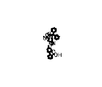 CN(C)C(=O)C1Cc2c(ncn2Cc2ccc(-c3ccccc3C(=O)O)cc2)CN1C(=O)C(c1ccccc1)c1ccccc1